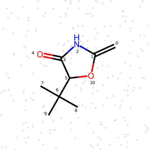 C=C1NC(=O)C(C(C)(C)C)O1